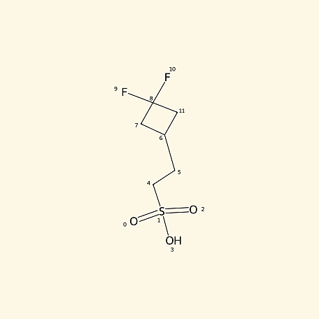 O=S(=O)(O)CCC1CC(F)(F)C1